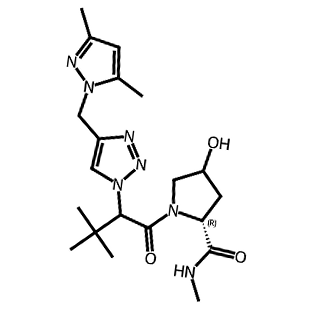 CNC(=O)[C@H]1CC(O)CN1C(=O)C(n1cc(Cn2nc(C)cc2C)nn1)C(C)(C)C